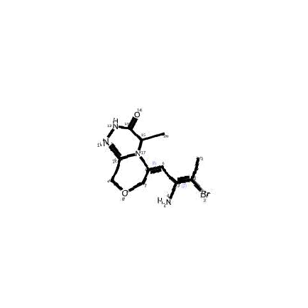 C/C(Br)=C(N)\C=C1/COCC2=NNC(=O)C(C)N21